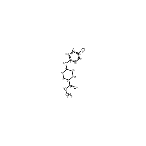 COC(=O)C1CCC(Oc2ccc(Cl)nn2)CC1